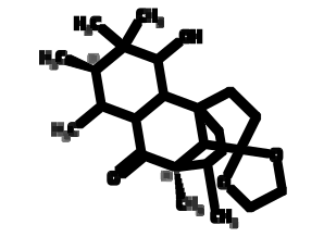 CC1C2C(=O)[C@]3(C)C(C)CCC4(CCC5(OCCO5)C43)C2C(O)C(C)(C)[C@@H]1C